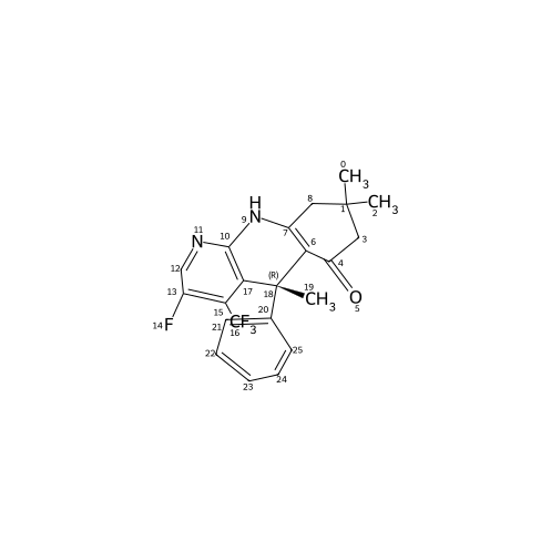 CC1(C)CC(=O)C2=C(C1)Nc1ncc(F)c(C(F)(F)F)c1[C@@]2(C)c1ccccc1